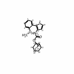 COc1ccccc1-c1sccc1NC(=O)OC1CN2CCC1CC2